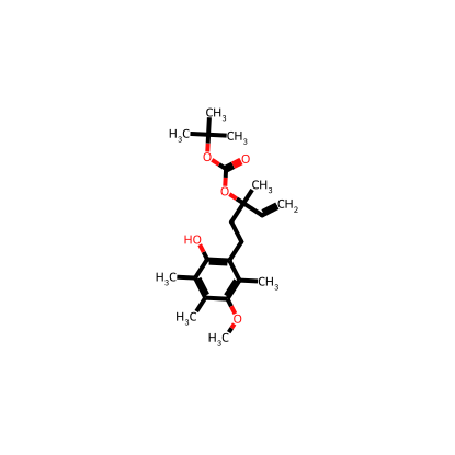 C=CC(C)(CCc1c(C)c(OC)c(C)c(C)c1O)OC(=O)OC(C)(C)C